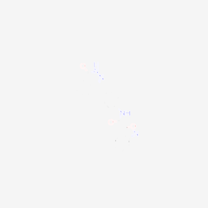 O=C(Nc1ccc(-c2n[nH]c(=O)c3ccccc23)cc1)c1onc2ccccc12